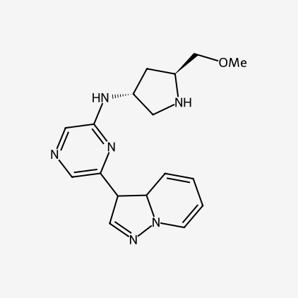 COC[C@@H]1C[C@@H](Nc2cncc(C3C=NN4C=CC=CC34)n2)CN1